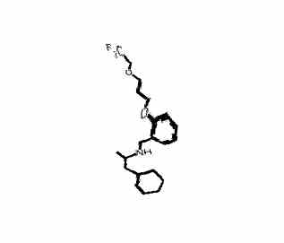 CC(CC1CCCCC1)NCc1ccccc1OCCCOCC(F)(F)F